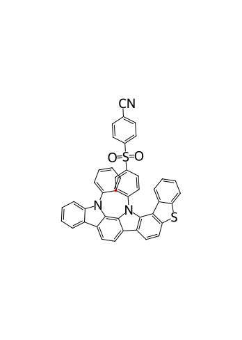 N#Cc1ccc(S(=O)(=O)c2ccc(-n3c4c(ccc5sc6ccccc6c54)c4ccc5c6ccccc6n(-c6ccccc6)c5c43)cc2)cc1